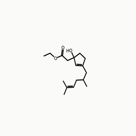 CCOC(=O)CC1(O)C=C(CC(C)CC=C(C)C)CC1